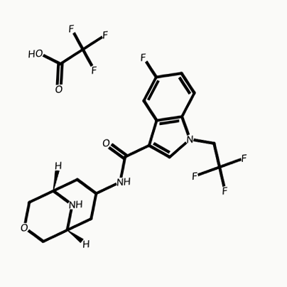 O=C(NC1C[C@H]2COC[C@@H](C1)N2)c1cn(CC(F)(F)F)c2ccc(F)cc12.O=C(O)C(F)(F)F